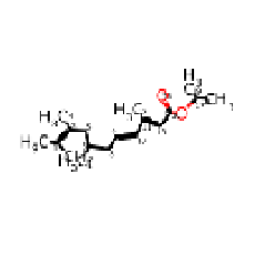 CC(C)=C(C)CC(C)C/C=C/C(C)=C/C(=O)OC(C)C